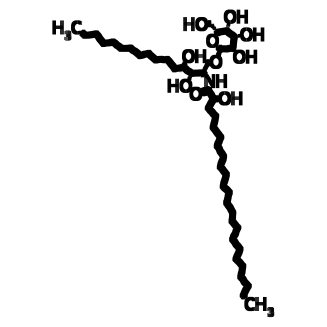 CCCCCCCCCCCCCCCCCCCCCCC(O)C(=O)N[C@H](CO[C@H]1O[C@H](CO)[C@H](O)[C@H](O)[C@H]1O)[C@H](O)[C@H](O)CCCCCCCCCCCC